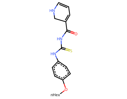 CCCCCCOc1ccc(NC(=S)NC(=O)C2=CC=CNC2)cc1